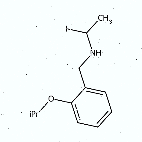 CC(I)NCc1ccccc1OC(C)C